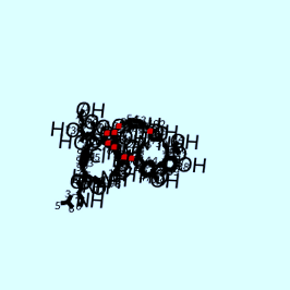 CN[C@H](CC(C)C)C(=O)NC1C(=O)N[C@@H](C)C(=O)N[C@H]2C(=O)N[C@H]3C(=O)N[C@H](C(=O)N[C@H](C(=O)O)c4cc(O)cc(O)c4-c4cc3ccc4O)[C@H](O)c3ccc(c(Cl)c3)Oc3cc2cc(c3OC2OC(CO)C(O)C(O)C2OC2CC(C)(N)C(O)C(C)O2)Oc2ccc(cc2Cl)[C@H]1O